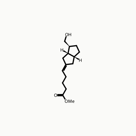 COC(=O)CCC/C=C1\C[C@H]2CC[C@H](CO)[C@H]2C1